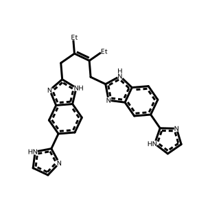 CCC(Cc1nc2cc(-c3ncc[nH]3)ccc2[nH]1)=C(CC)Cc1nc2cc(-c3ncc[nH]3)ccc2[nH]1